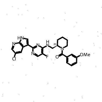 COc1cccc(C(=O)N2CCCC[C@@H]2CNc2nc(-c3c[nH]c4ncc(Cl)cc34)ncc2F)c1